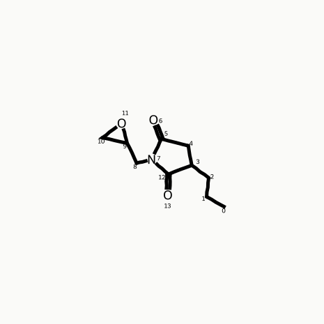 CCCC1CC(=O)N(CC2CO2)C1=O